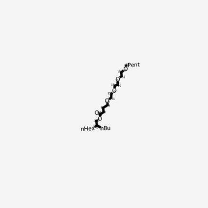 CCCCCCC(CCCC)COC(=O)CCCOCCOCCOCCOCCCCC